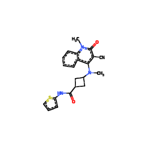 CN(c1c(C#N)c(=O)n(C)c2ccccc12)C1CC(C(=O)Nc2cccs2)C1